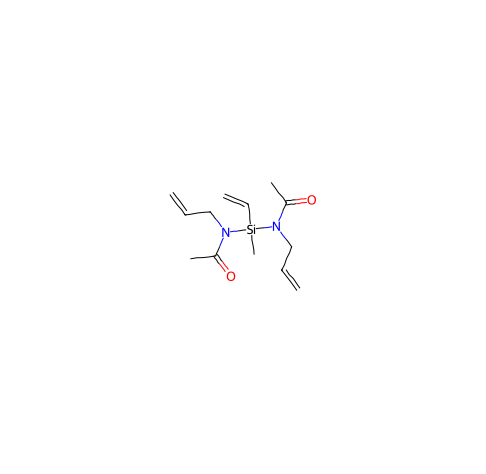 C=CCN(C(C)=O)[Si](C)(C=C)N(CC=C)C(C)=O